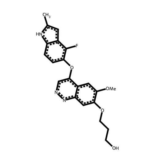 COc1cc2c(Oc3ccc4[nH]c(C)cc4c3F)cnnc2cc1OCCCO